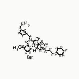 CCc1ccc(CN(Cc2sccc2C)C(=O)O[C@H]2C[N+]3(CCCc4ccccc4)CCC2CC3)s1.[Br-]